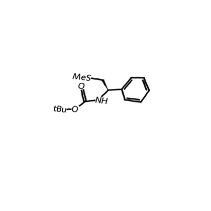 CSC[C@H](NC(=O)OC(C)(C)C)c1ccccc1